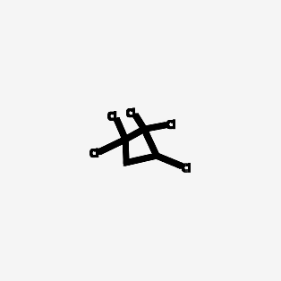 ClC1CC(Cl)(Cl)C1(Cl)Cl